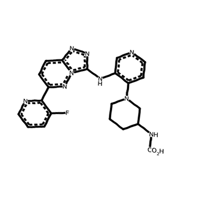 O=C(O)NC1CCCN(c2ccncc2Nc2nnc3ccc(-c4ncccc4F)nn23)C1